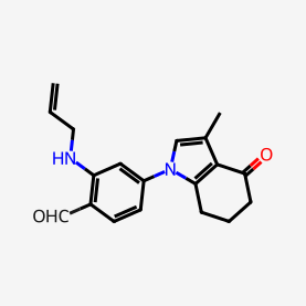 C=CCNc1cc(-n2cc(C)c3c2CCCC3=O)ccc1C=O